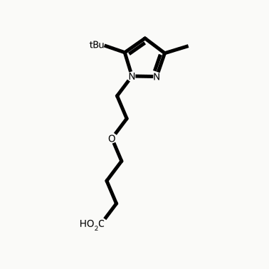 Cc1cc(C(C)(C)C)n(CCOCCCC(=O)O)n1